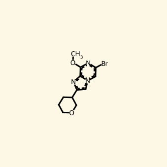 COc1nc(Br)cn2cc(C3CCCOC3)nc12